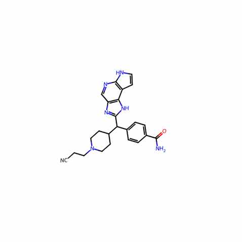 N#CCCN1CCC(C(c2ccc(C(N)=O)cc2)c2nc3cnc4[nH]ccc4c3[nH]2)CC1